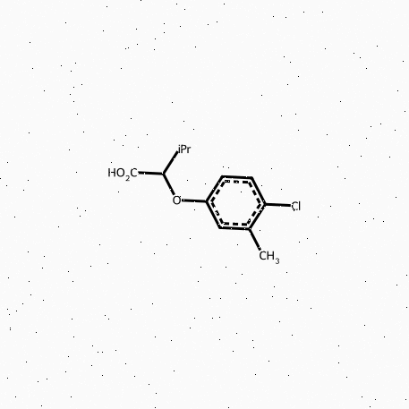 Cc1cc(OC(C(=O)O)C(C)C)ccc1Cl